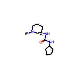 CC(C)N1CCC[C@@H](NC(=O)NC2CCCC2)C1